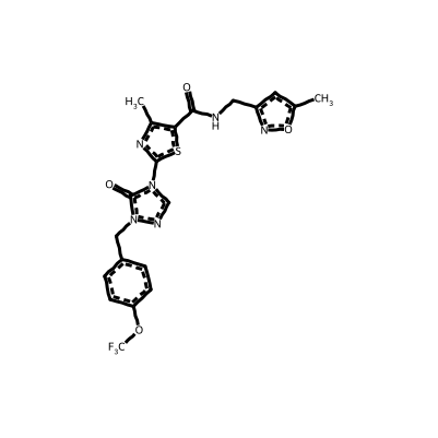 Cc1cc(CNC(=O)c2sc(-n3cnn(Cc4ccc(OC(F)(F)F)cc4)c3=O)nc2C)no1